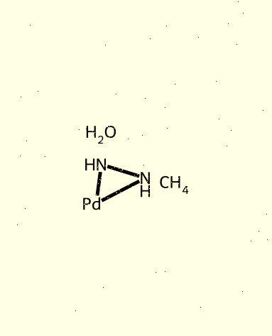 C.O.[NH]1[NH][Pd]1